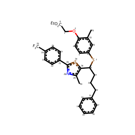 CCOC(=O)COc1ccc(SC(CCCc2ccccc2)c2sc(-c3ccc(C(F)(F)F)cc3)nc2C)cc1C